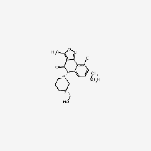 CS(=O)(=O)O.Cc1onc2c1c(=O)n([C@H]1CCC[C@@H](CO)C1)c1cccc(Cl)c21